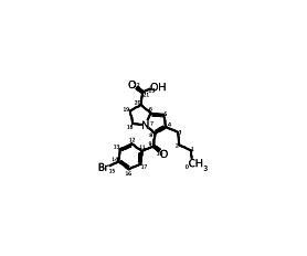 CCCCc1cc2n(c1C(=O)c1ccc(Br)cc1)CCC2C(=O)O